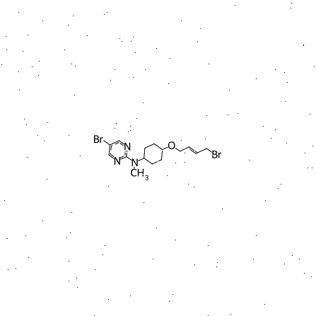 CN(c1ncc(Br)cn1)C1CCC(OC/C=C/CBr)CC1